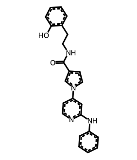 O=C(NCCc1ccccc1O)c1ccn(-c2ccnc(Nc3ccccc3)c2)c1